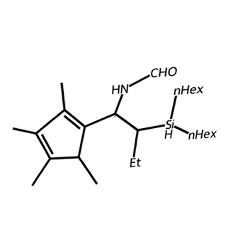 CCCCCC[SiH](CCCCCC)C(CC)[C](NC=O)C1=C(C)C(C)=C(C)C1C